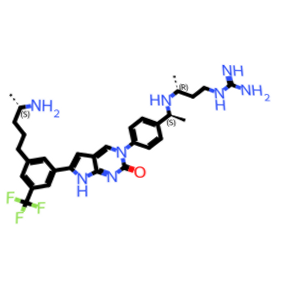 C[C@H](N)CCCc1cc(-c2cc3cn(-c4ccc([C@H](C)N[C@H](C)CCNC(=N)N)cc4)c(=O)nc3[nH]2)cc(C(F)(F)F)c1